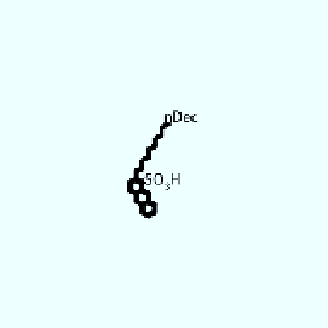 CCCCCCCCCCCCCCCCCCCCc1ccc2cc3ccccc3cc2c1S(=O)(=O)O